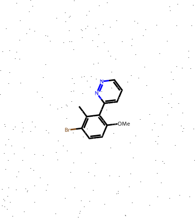 COc1ccc(Br)c(C)c1-c1cccnn1